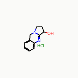 Cl.OC1CCN2Cc3ccccc3N=C12